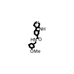 COc1cccc(CNC(=O)c2ccc3c(c2)[nH]c2cnccc23)c1